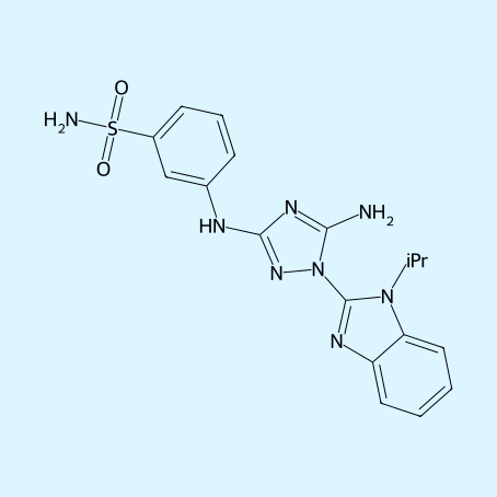 CC(C)n1c(-n2nc(Nc3cccc(S(N)(=O)=O)c3)nc2N)nc2ccccc21